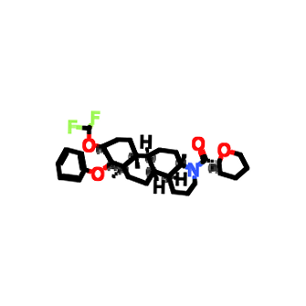 C[C@]12CC[C@H]3[C@@H](CC[C@@]4(C)[C@@H](Oc5ccccc5)[C@@H](OC(F)F)CC[C@]34C)[C@@H]1CCCN2C(=O)[C@H]1CCCCO1